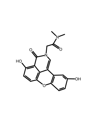 CN(C)C(=O)Cn1cc2c3c(ccc(O)c3c1=O)Oc1ccc(O)cc1-2